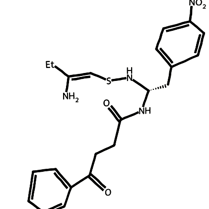 CC/C(N)=C/SN[C@H](Cc1ccc([N+](=O)[O-])cc1)NC(=O)CCC(=O)c1ccccc1